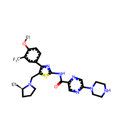 CCOc1ccc(-c2nc(NC(=O)c3cnc(N4CCNCC4)cn3)sc2CN2CCC[C@H]2CC)cc1C(F)(F)F